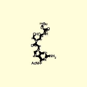 CC(=O)Nc1nc(N)nc2c1ncn2CC(=O)N(CC=O)CCNC(=O)OC(C)(C)C